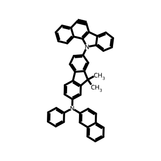 CC1(C)c2cc(N(c3ccccc3)c3ccc4ccccc4c3)ccc2-c2ccc(-n3c4ccccc4c4c#cc5ccccc5c43)cc21